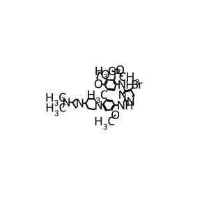 COc1cc(N2CCC(N3CC(N(C)C)C3)CC2)c(C)cc1Nc1ncc(Br)c(Nc2ccc3c(c2P(C)(C)=O)OCCO3)n1